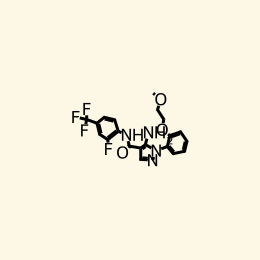 COCCOc1ccccc1-n1ncc(C(=O)Nc2ccc(C(F)(F)F)cc2F)c1N